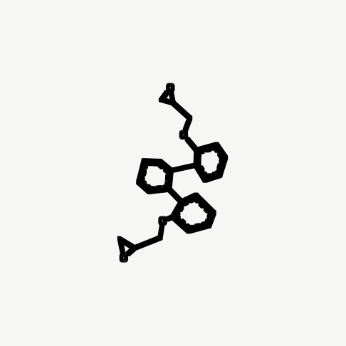 c1ccc(-c2ccccc2-c2ccccc2OCC2CO2)c(OCC2CO2)c1